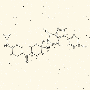 O=C(C1CCC(NC2CC2)CC1)N1CCC(O)(Cn2cnc3c(cnn3-c3ccc(F)cc3)c2=O)CC1